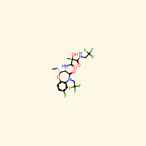 CC[C@H]1Oc2ccc(F)cc2N(CC(F)(F)F)C(=O)[C@H]1NC(=O)[C@](C)(O)C(=O)NCC(F)(F)F